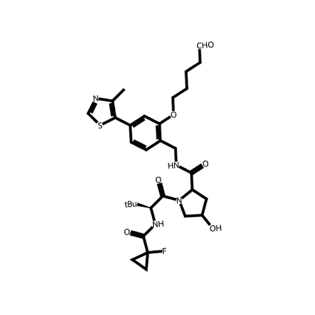 Cc1ncsc1-c1ccc(CNC(=O)C2CC(O)CN2C(=O)[C@@H](NC(=O)C2(F)CC2)C(C)(C)C)c(OCCCCC=O)c1